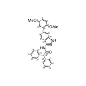 COc1ccc(OC)c(-c2ccc3c(NC(=O)C(c4ccccc4)c4ccccc4)n[nH]c3c2)c1